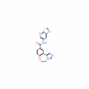 O=C(Nc1cnc2scnc2c1)c1ccc2c(c1)-c1cncn1CCO2